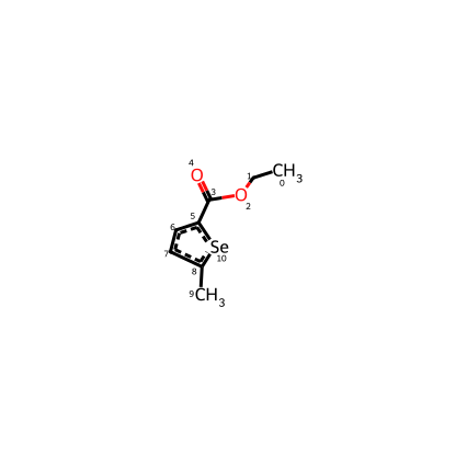 CCOC(=O)c1ccc(C)[se]1